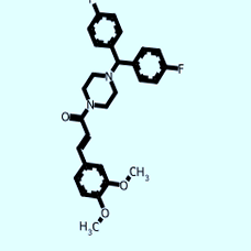 COc1ccc(C=CC(=O)N2CCN(C(c3ccc(F)cc3)c3ccc(F)cc3)CC2)cc1OC